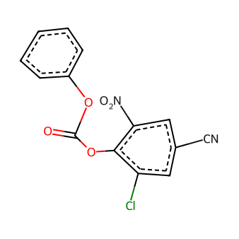 N#Cc1cc(Cl)c(OC(=O)Oc2ccccc2)c([N+](=O)[O-])c1